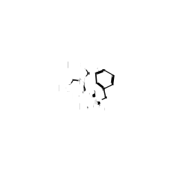 CCN(CC)CC.O=S(=O)(O)Cc1ccccc1